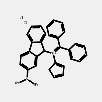 CC(C)N(c1ccc2c(c1)[CH]([Zr+2]([C]1=CC=CC1)=[C](c1ccccc1)c1ccccc1)c1ccccc1-2)C(C)C.[Cl-].[Cl-]